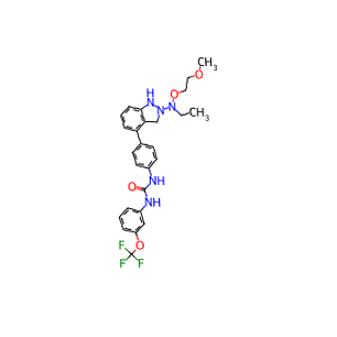 CCN(OCCOC)N1Cc2c(cccc2-c2ccc(NC(=O)Nc3cccc(OC(F)(F)F)c3)cc2)N1